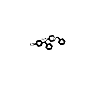 Clc1ccc(C(NC2CCN(Cc3ccccc3)CC2)c2ccccc2)cc1